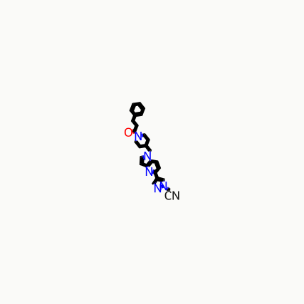 N#CCn1cc(-c2ccc3c(ccn3CC3CCN(C(=O)CCc4ccccc4)CC3)n2)cn1